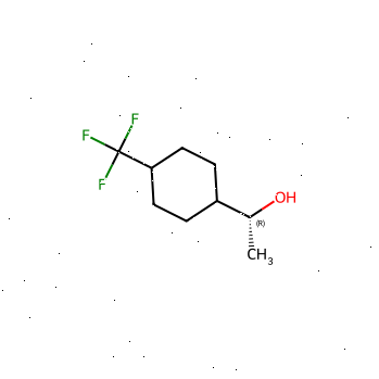 C[C@@H](O)C1CCC(C(F)(F)F)CC1